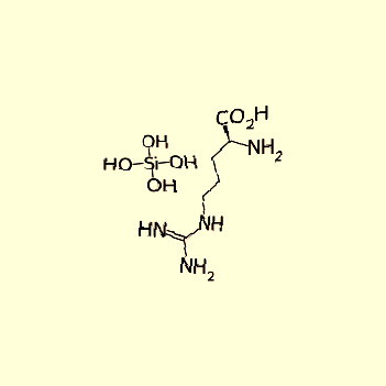 N=C(N)NCCC[C@H](N)C(=O)O.O[Si](O)(O)O